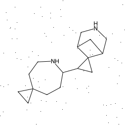 C1CC2(CCC(C3CC34C3CNCC4C3)N1)CC2